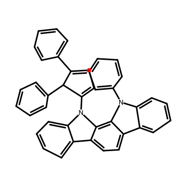 C1=C(c2ccccc2)C(c2ccccc2)C(n2c3ccccc3c3ccc4c5ccccc5n(-c5ccccc5)c4c32)=C1